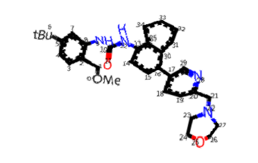 COCc1ccc(C(C)(C)C)cc1NC(=O)Nc1ccc(-c2ccc(CN3CCOCC3)nc2)c2ccccc12